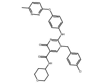 Cc1ccc(Oc2ccc(Nc3nc(=O)c(C(=O)NC4CCOCC4)cn3Cc3ccc(Cl)cc3)cc2)nn1